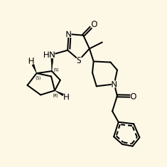 CC1(C2CCN(C(=O)Cc3ccccc3)CC2)SC(N[C@H]2C[C@@H]3CC[C@H]2C3)=NC1=O